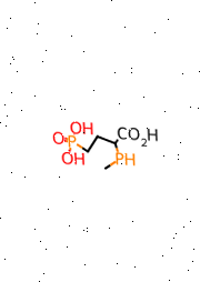 CPC(CCP(=O)(O)O)C(=O)O